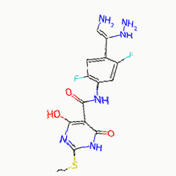 CSc1nc(O)c(C(=O)Nc2cc(F)c(/C(=C/N)NN)cc2F)c(=O)[nH]1